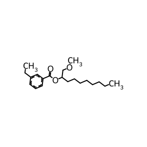 CCCCCCCCC(COC)OC(=O)c1cccc(CC)c1